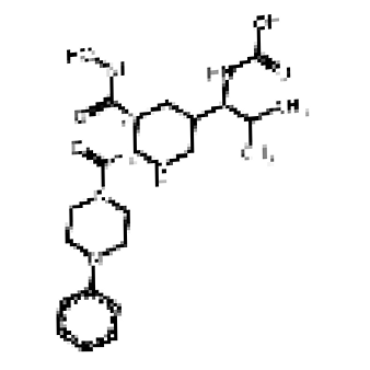 CC(C)C(NC(=O)O)C1CN[C@H](C(=O)N2CCN(c3ccccc3)CC2)[C@@H](C(=O)NO)C1